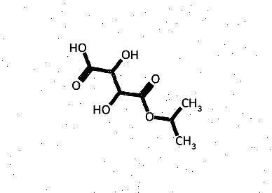 CC(C)OC(=O)C(O)C(O)C(=O)O